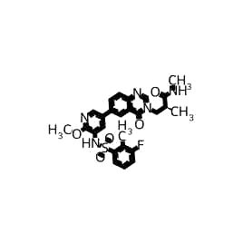 CNC(=O)[C@H](C)Cn1cnc2ccc(-c3cnc(OC)c(NS(=O)(=O)c4cccc(F)c4C)c3)cc2c1=O